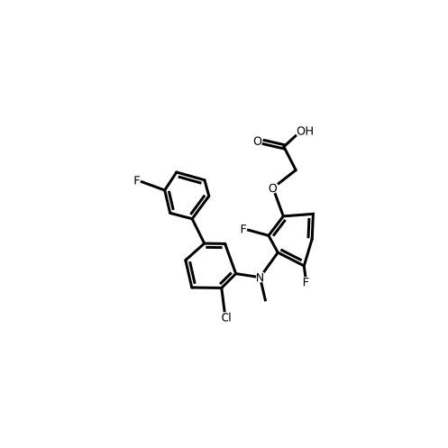 CN(c1cc(-c2cccc(F)c2)ccc1Cl)c1c(F)ccc(OCC(=O)O)c1F